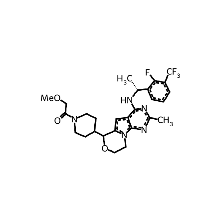 COCC(=O)N1CCC(C2OCCn3c2cc2c(N[C@H](C)c4cccc(C(F)(F)F)c4F)nc(C)nc23)CC1